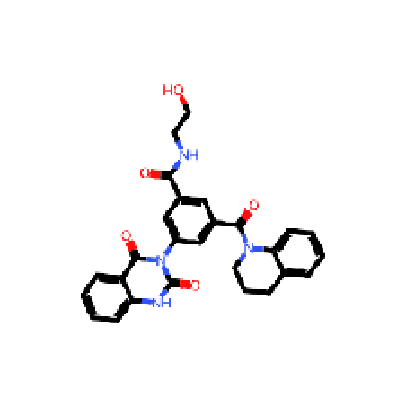 O=C(NCCO)c1cc(C(=O)N2CCCc3ccccc32)cc(-n2c(=O)[nH]c3ccccc3c2=O)c1